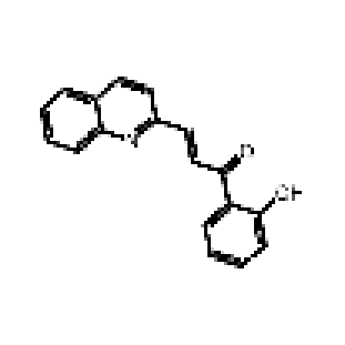 O=C(C=Cc1ccc2ccccc2n1)c1ccccc1O